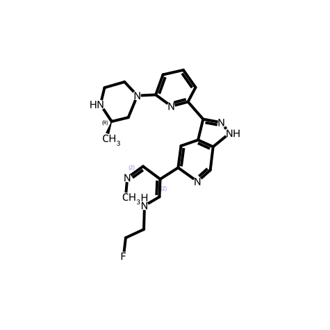 C/N=C\C(=C/NCCF)c1cc2c(-c3cccc(N4CCN[C@H](C)C4)n3)n[nH]c2cn1